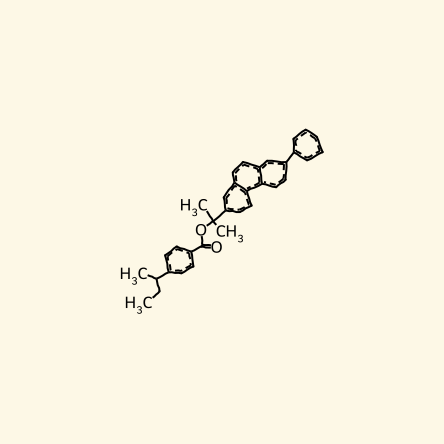 CCC(C)c1ccc(C(=O)OC(C)(C)c2ccc3c(ccc4cc(-c5ccccc5)ccc43)c2)cc1